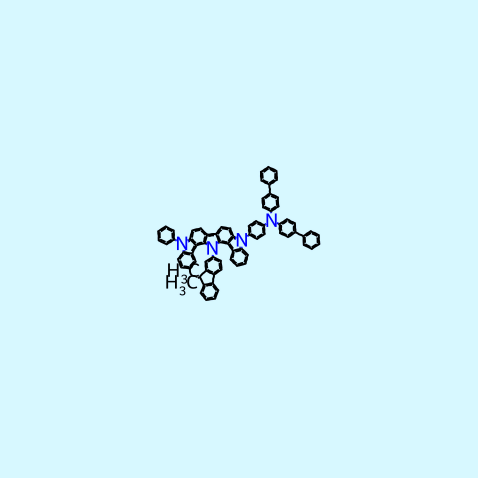 CC1(C)c2ccccc2-c2ccc(-n3c4c(ccc5c4c4ccccc4n5-c4ccccc4)c4ccc5c(c6ccccc6n5-c5ccc(N(c6ccc(-c7ccccc7)cc6)c6ccc(-c7ccccc7)cc6)cc5)c43)cc21